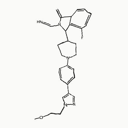 C=C1C2C=CC=CC(F)=C2C(C2CCN(c3ccc(-c4cnn(CCOC)c4)cc3)CC2)N1C=N